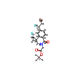 CC(C)(C)OC(=O)CN1CC2(C[C@@H]2F)c2cc(C(F)CBr)ccc2C1=O